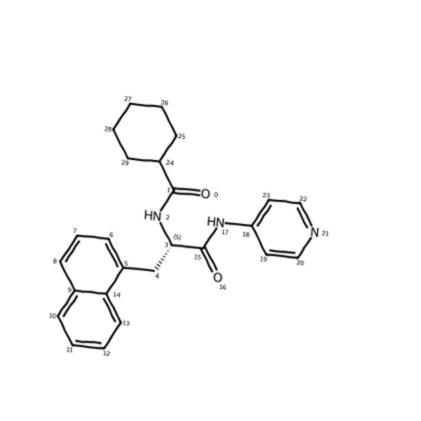 O=C(N[C@@H](Cc1cccc2ccccc12)C(=O)Nc1ccncc1)C1CCCCC1